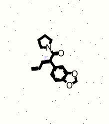 C=C/C=C(/C(=O)N1CCCC1)c1ccc2c(c1)OCO2